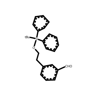 CC(C)(C)[Si](OCCc1cccc(C=O)c1)(c1ccccc1)c1ccccc1